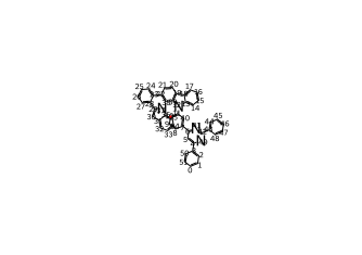 c1ccc(-c2cc(-c3cccc(-n4c5ccccc5c5ccc6c7ccccc7c7cc8ccccc8n7c6c54)c3)nc(-c3ccccc3)n2)cc1